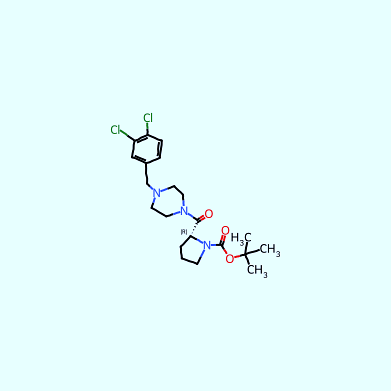 CC(C)(C)OC(=O)N1CCC[C@@H]1C(=O)N1CCN(Cc2ccc(Cl)c(Cl)c2)CC1